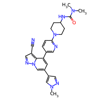 CN(C)C(=O)NC1CCN(c2ccc(-c3cc(-c4cnn(C)c4)cn4ncc(C#N)c34)cn2)CC1